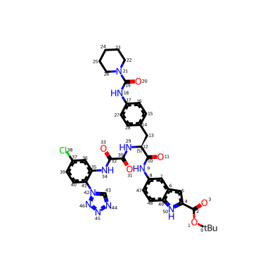 CC(C)(C)OC(=O)c1cc2cc(NC(=O)[C@H](Cc3ccc(NC(=O)N4CCCCC4)cc3)NC(=O)C(=O)Nc3cc(Cl)ccc3-n3cnnn3)ccc2[nH]1